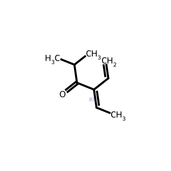 C=C/C(=C\C)C(=O)C(C)C